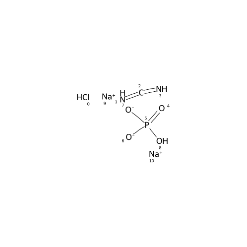 Cl.N=C=N.O=P([O-])([O-])O.[Na+].[Na+]